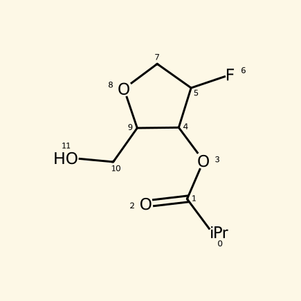 CC(C)C(=O)OC1C(F)COC1CO